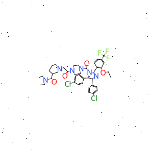 CCOc1cc(C(F)(F)F)ccc1C1=NC(c2ccc(Cl)cc2)C(c2ccc(Cl)cc2)N1C(=O)N1CCN(C(=O)CN2CCCC(C(=O)N(CC)CC)C2)CC1